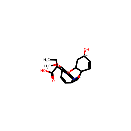 CCC(C(=O)O)N1CCC23C=C[C@H](O)CC2Oc2c(OC)ccc(c23)C1